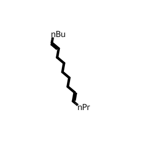 [CH2]CCC=CCCCCCC=CCCCC